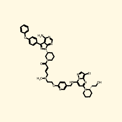 CCc1cnn2c(NCc3ccc(OCCN(C)C/C=C/C(=O)N4CCC[C@@H](n5nc(-c6ccc(Oc7ccccc7)cc6)c6c(N)ncnc65)C4)nc3)cc(N3CCCC[C@H]3CCO)nc12